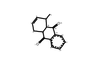 CC1C=CCC2C(=O)c3ccccc3C(=O)C12